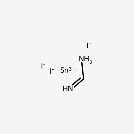 N=CN.[I-].[I-].[I-].[Sn+3]